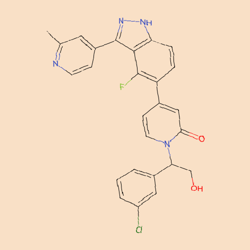 Cc1cc(-c2n[nH]c3ccc(-c4ccn(C(CO)c5cccc(Cl)c5)c(=O)c4)c(F)c23)ccn1